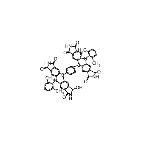 Cc1cccc(C)c1N1c2cc3c(cc2B(c2ccc(B4c5cc6c(cc5N(c5c(C)cccc5C)c5cc7c(cc54)C(O)NC7=O)C(=O)NC6=O)cc2)c2cc4c(cc21)C(=O)NC4=O)C(=O)NC3=O